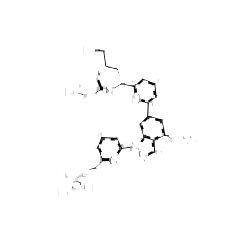 COc1cc(-c2cccc([C@H](CCCO)NC(=O)OC(C)(C)C)n2)cc2c1cnn2-c1cccc(CO[Si](C)(C)C(C)(C)C)n1